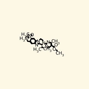 CCOC(=O)c1cnc(N2CCn3c(nc4cc(CC)c(S(C)(=O)=O)cc43)[C@@H]2C(C)C)nc1C